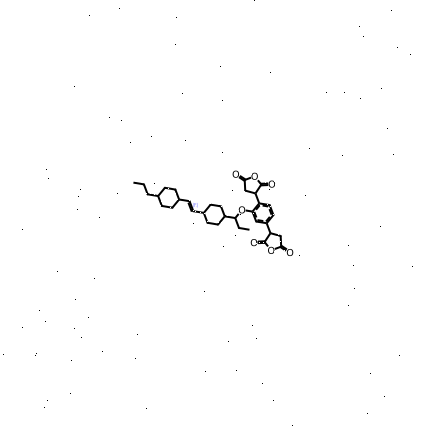 CCCC1CCC(/C=C/C2CCC(C(CC)Oc3cc(C4CC(=O)OC4=O)ccc3C3CC(=O)OC3=O)CC2)CC1